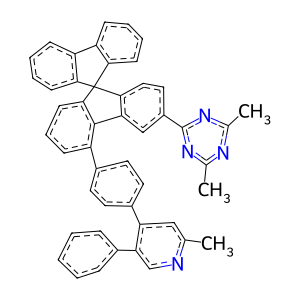 Cc1cc(-c2ccc(-c3cccc4c3-c3cc(-c5nc(C)nc(C)n5)ccc3C43c4ccccc4-c4ccccc43)cc2)c(-c2ccccc2)cn1